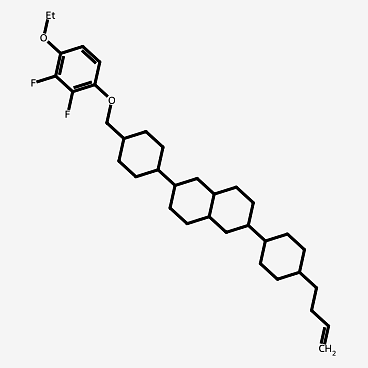 C=CCCC1CCC(C2CCC3CC(C4CCC(COc5ccc(OCC)c(F)c5F)CC4)CCC3C2)CC1